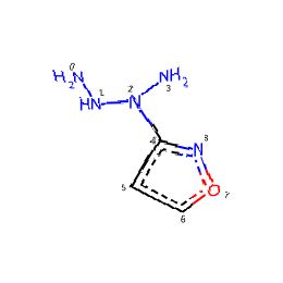 NNN(N)c1ccon1